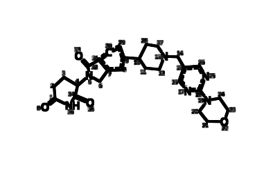 O=C1CCC(N2Cc3cc(C4CCN(Cc5cnc(N6CCOCC6)nc5)CC4)ccc3C2=O)C(=O)N1